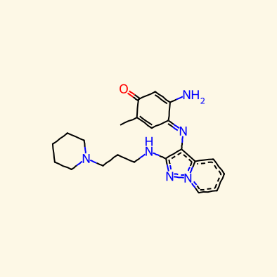 CC1=C/C(=N\c2c(NCCCN3CCCCC3)nn3ccccc23)C(N)=CC1=O